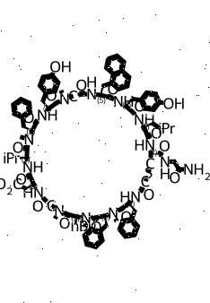 CCCC[C@H]1C(=O)N(C)CC(=O)N[C@@H](CC(=O)O)C(=O)N[C@@H](C(C)C)C(=O)N(C)[C@@H](Cc2ccccc2)C(=O)N[C@@H](Cc2ccc(O)cc2)C(=O)N(C)CC(=O)N[C@@H](Cc2cccc3ccccc23)C(=O)N[C@@H](Cc2ccc(O)cc2)C(=O)N[C@@H](CC(C)C)C(=O)N[C@H](C(=O)NCC(N)=O)CSCC(=O)N[C@@H](Cc2ccccc2)C(=O)N(C)[C@@H](Cc2ccccc2)C(=O)N1C